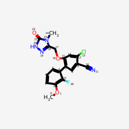 COc1cccc(-c2cc(C#N)c(Cl)cc2OCc2n[nH]c(=O)n2C)c1F